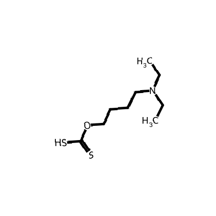 CCN(CC)CCCCOC(=S)S